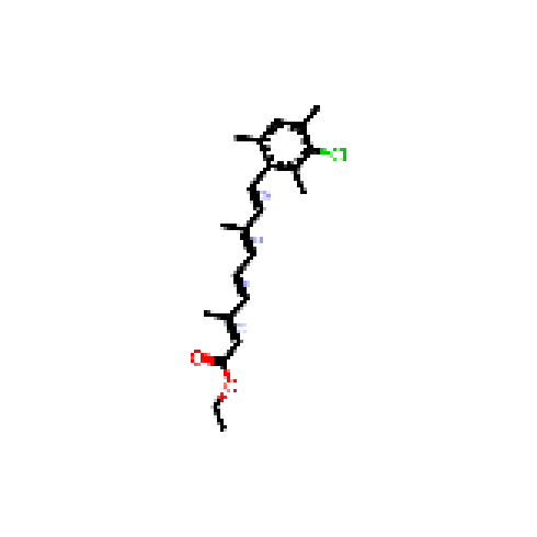 CCOC(=O)/C=C(C)/C=C/C=C(C)/C=C/c1c(C)cc(C)c(Cl)c1C